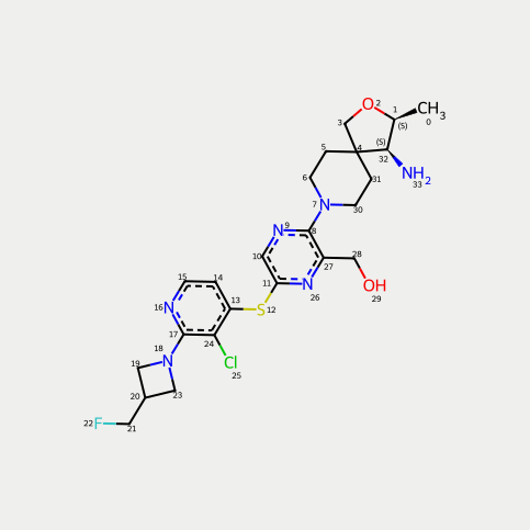 C[C@@H]1OCC2(CCN(c3ncc(Sc4ccnc(N5CC(CF)C5)c4Cl)nc3CO)CC2)[C@@H]1N